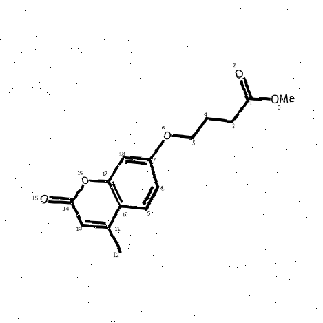 COC(=O)CCCOc1ccc2c(C)cc(=O)oc2c1